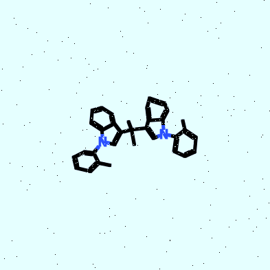 Cc1ccccc1-n1cc(C(C)(C)c2cn(-c3ccccc3C)c3ccccc23)c2ccccc21